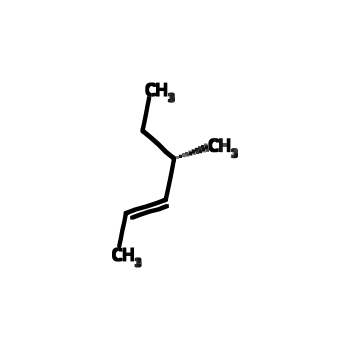 CC=C[C@@H](C)CC